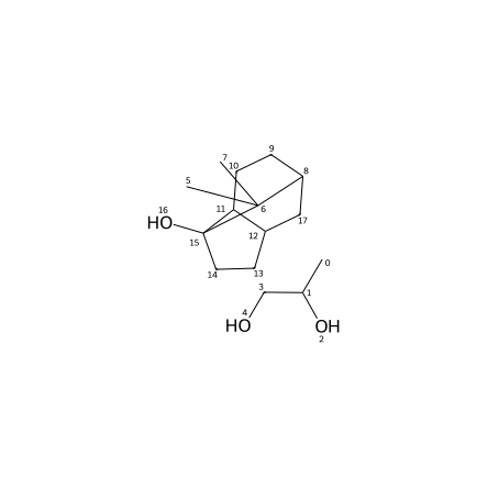 CC(O)CO.CC1(C)C2CCC3C(CCC31O)C2